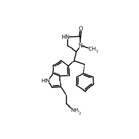 CN1C(=O)NCC1C(Cc1ccccc1)c1ccc2[nH]cc(CCN)c2c1